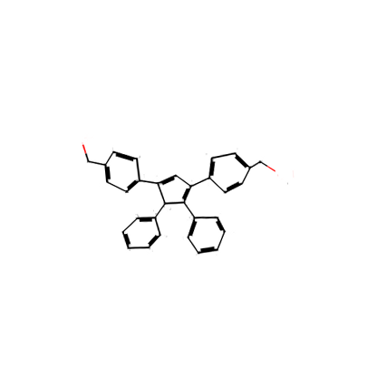 OCc1ccc(C2=CC(c3ccc(CO)cc3)=C(c3ccccc3)C2c2ccccc2)cc1